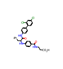 CC(C)CC(Nc1ccc(C(=O)NCCC(=O)O)cc1)C(=O)Nc1ccc(-c2ccc(Cl)cc2Cl)cc1